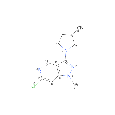 CC(C)n1nc(N2CCC(C#N)C2)c2cnc(Cl)cc21